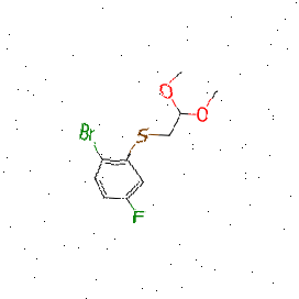 COC(CSc1cc(F)ccc1Br)OC